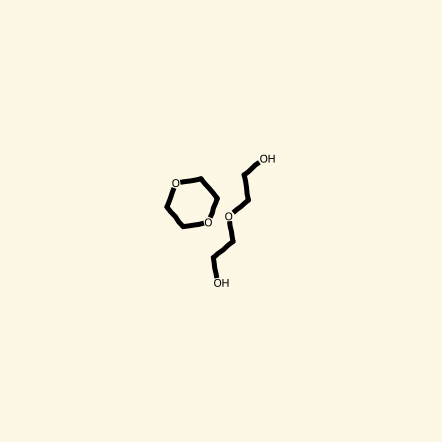 C1COCCO1.OCCOCCO